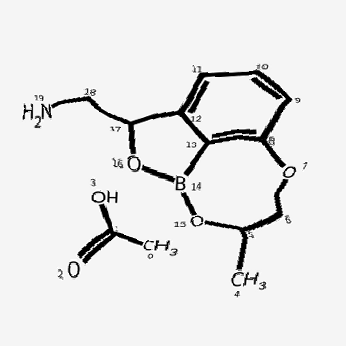 CC(=O)O.CC1COc2cccc3c2B(O1)OC3CN